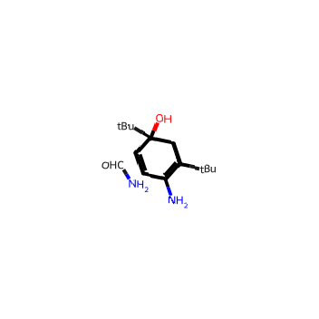 CC(C)(C)C1=C(N)C=CC(O)(C(C)(C)C)C1.NC=O